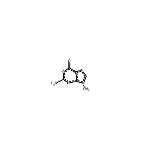 Cn1cnc2c(=O)oc(N)nc21